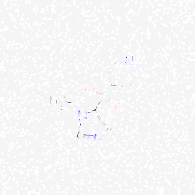 Cn1cncc1S(=O)(=O)C1CCNCC1